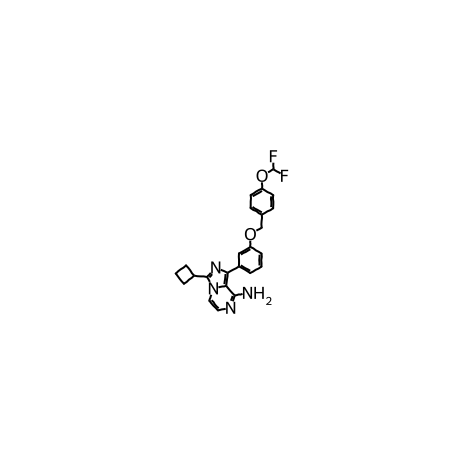 Nc1nccn2c(C3CCC3)nc(-c3cccc(OCc4ccc(OC(F)F)cc4)c3)c12